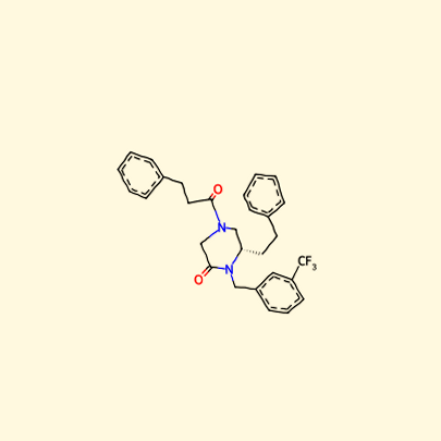 O=C(CCc1ccccc1)N1CC(=O)N(Cc2cccc(C(F)(F)F)c2)[C@@H](CCc2ccccc2)C1